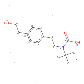 CC(C)(C)N(CCc1ccc(CCO)cc1)C(=O)O